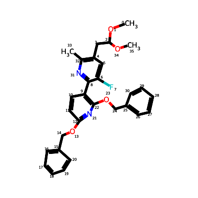 COC(Cc1cc(F)c(-c2ccc(OCc3ccccc3)nc2OCc2ccccc2)nc1C)OC